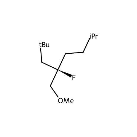 COC[C@@](F)(CCC(C)C)CC(C)(C)C